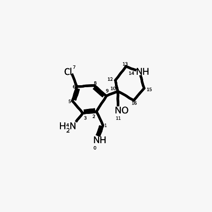 N=Cc1c(N)cc(Cl)cc1C1(N=O)CCNCC1